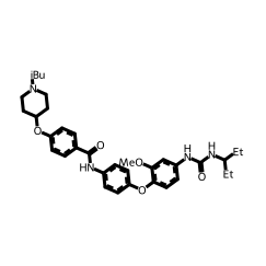 CCC(CC)NC(=O)Nc1ccc(Oc2ccc(NC(=O)c3ccc(OC4CCN(C(C)CC)CC4)cc3)cc2)c(OC)c1